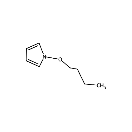 CCCCOn1[c]ccc1